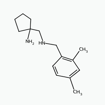 Cc1ccc(CNCC2(N)CCCC2)c(C)c1